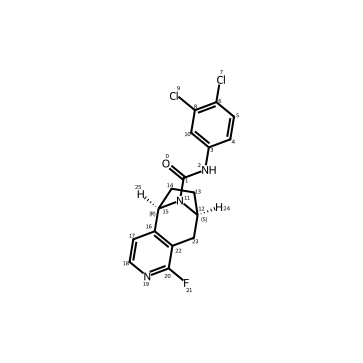 O=C(Nc1ccc(Cl)c(Cl)c1)N1[C@H]2CC[C@@H]1c1ccnc(F)c1C2